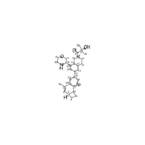 CC1=C[C@@H]2CCC2c2ncc(-c3cc4c(c([C@@H]5COCCN5)c3)CN(C(=O)C(C)(C)O)CC4)cc21